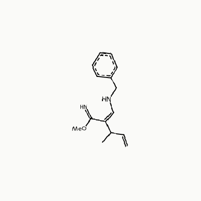 C=CC(C)/C(=C/NCc1ccccc1)C(=N)OC